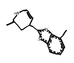 Cc1cccc2sc(C3C=CNC(C)C3)nc12